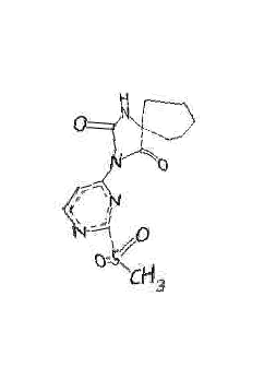 CS(=O)(=O)c1nccc(N2C(=O)NC3(CCCC3)C2=O)n1